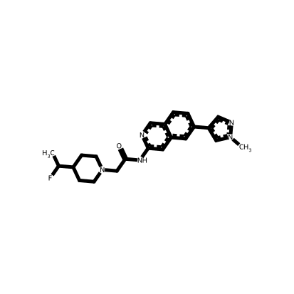 CC(F)C1CCN(CC(=O)Nc2cc3cc(-c4cnn(C)c4)ccc3cn2)CC1